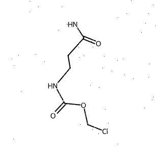 [NH]C(=O)CCNC(=O)OCCl